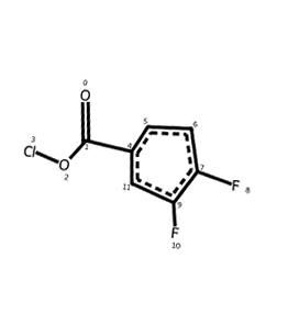 O=C(OCl)c1ccc(F)c(F)c1